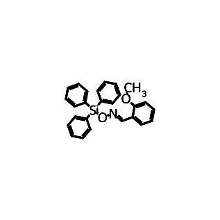 COc1ccccc1/C=N/O[Si](c1ccccc1)(c1ccccc1)c1ccccc1